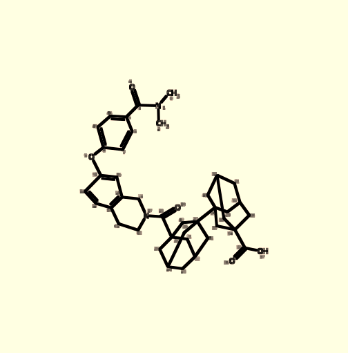 CN(C)C(=O)c1ccc(Oc2ccc3c(c2)CN(C(=O)C24CC5CC(C2)CC(C26CC7CC(CC(C(=O)O)(C7)C2)C6)(C5)C4)CC3)cc1